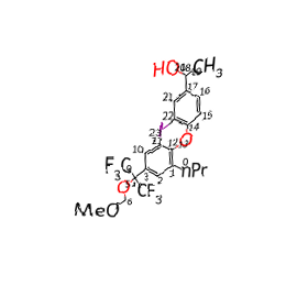 CCCc1cc(C(OCOC)(C(F)(F)F)C(F)(F)F)ccc1Oc1ccc(C(C)O)cc1I